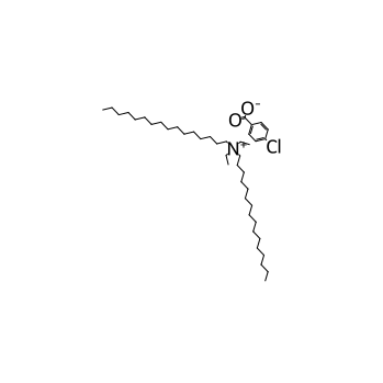 CCCCCCCCCCCCCCCC[N+](CC)(CC)CCCCCCCCCCCCCCCC.O=C([O-])c1ccc(Cl)cc1